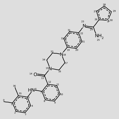 Cc1cccc(Nc2ccccc2C(=O)N2CCN(c3ccc(/N=C(\N)c4cccs4)cc3)CC2)c1C